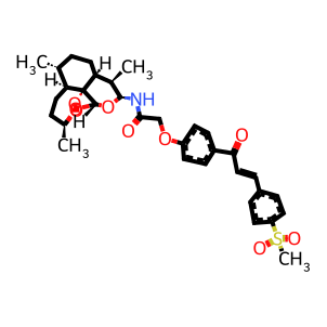 C[C@H]1[C@@H](NC(=O)COc2ccc(C(=O)/C=C/c3ccc(S(C)(=O)=O)cc3)cc2)O[C@@H]2O[C@@]3(C)CC[C@H]4[C@H](C)CC[C@@H]1[C@@]24OO3